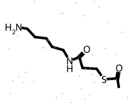 CC(=O)SCCC(=O)NCCCCCN